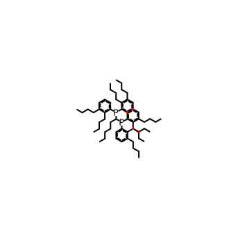 CCCCCC(P(c1cccc(CCCC)c1CCCC)c1cccc(CCCC)c1CCCC)P(c1cccc(CCCC)c1CCCC)c1cccc(CCCC)c1CCCC